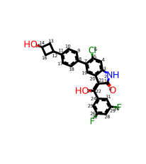 O=C1Nc2cc(Cl)c(-c3ccc(C4CC(O)C4)cc3)cc2C1=C(O)c1cc(F)cc(F)c1